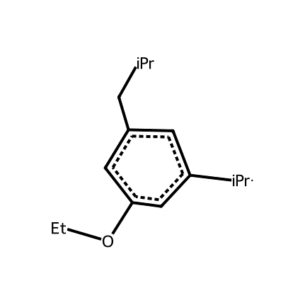 CCOc1cc(CC(C)C)cc([C](C)C)c1